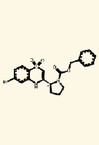 O=C(OCc1ccccc1)N1CCC[C@H]1C1=CS(=O)(=O)c2ccc(Br)cc2N1